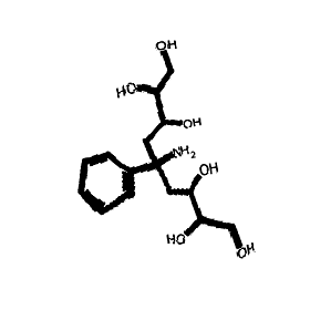 NC(CC(O)C(O)CO)(CC(O)C(O)CO)c1ccccc1